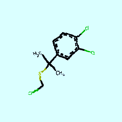 CC(C)(SCCl)c1ccc(Cl)c(Cl)c1